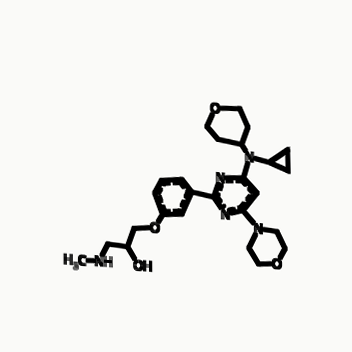 CNCC(O)COc1cccc(-c2nc(N3CCOCC3)cc(N(C3CCOCC3)C3CC3)n2)c1